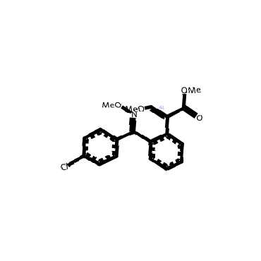 CO/C=C(/C(=O)OC)c1ccccc1C(=NOC)c1ccc(Cl)cc1